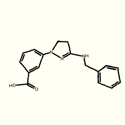 O=C(O)c1cccc(N2CCC(NCc3ccccc3)=N2)c1